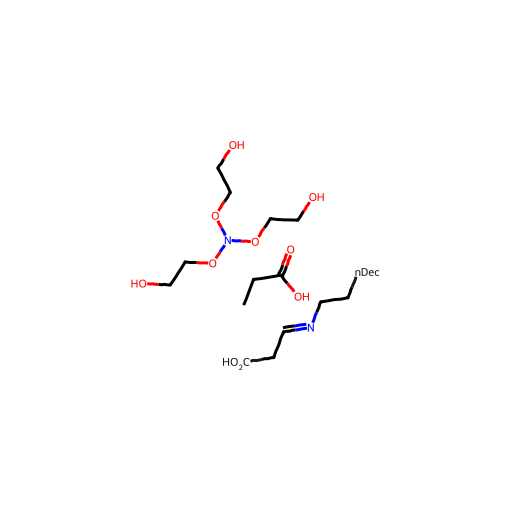 CCC(=O)O.CCCCCCCCCCCCN=CCC(=O)O.OCCON(OCCO)OCCO